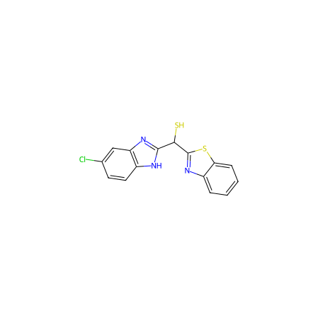 SC(c1nc2cc(Cl)ccc2[nH]1)c1nc2ccccc2s1